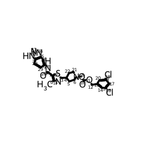 Cc1nc(C2CCN(OC(=O)OCc3cc(Cl)cc(Cl)c3)CC2)sc1C(=O)Nc1ccc2[nH]nnc2c1